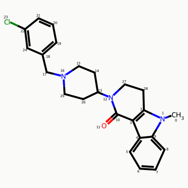 Cn1c2c(c3ccccc31)C(=O)N(C1CCN(Cc3cccc(Cl)c3)CC1)CC2